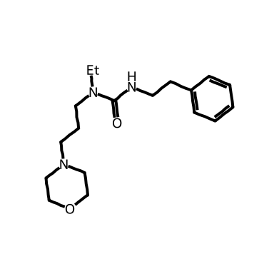 CCN(CCCN1CCOCC1)C(=O)NCCc1ccccc1